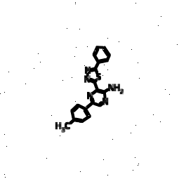 Cc1ccc(-c2cnc(N)c(-c3nnc(-c4ccccc4)s3)n2)cc1